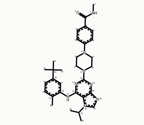 CNC(=O)c1ccc(N2CCN(c3nc(Nc4cc(C(C)(C)C)ccc4C)c4c(ncn4C(C)C)n3)CC2)cc1